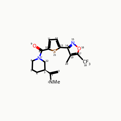 C=C(NC)[C@H]1CCCN(C(=O)c2ccc(-c3noc(C(F)(F)F)c3C)s2)C1